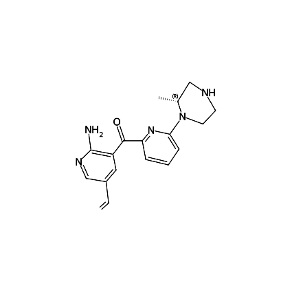 C=Cc1cnc(N)c(C(=O)c2cccc(N3CCNC[C@H]3C)n2)c1